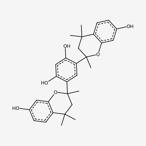 CC1(C)CC(C)(c2cc(C3(C)CC(C)(C)c4ccc(O)cc4O3)c(O)cc2O)Oc2cc(O)ccc21